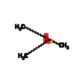 CCCCCC=CSCC(COC(=O)CCCCCCCCCCCCCCCCC)OC(=O)CCCCCCCCCCCCCCCCC